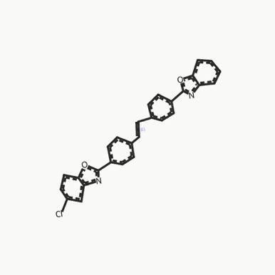 Clc1ccc2oc(-c3ccc(/C=C/c4ccc(-c5nc6ccccc6o5)cc4)cc3)nc2c1